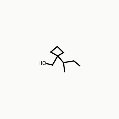 CCC(C)C1(CO)CCC1